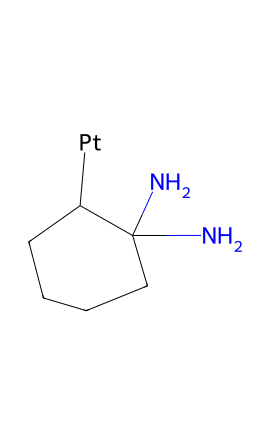 NC1(N)CCCC[CH]1[Pt]